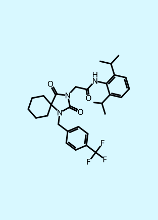 CC(C)c1cccc(C(C)C)c1NC(=O)CN1C(=O)N(Cc2ccc(C(F)(F)F)cc2)C2(CCCCC2)C1=O